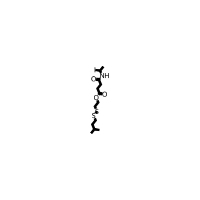 CC(C)CCSSCCOC(=O)CCC(=O)NC(C)I